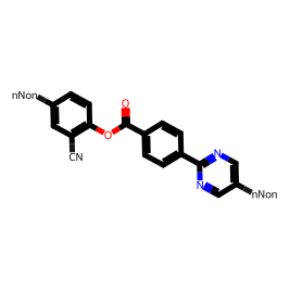 CCCCCCCCCc1cnc(-c2ccc(C(=O)Oc3ccc(CCCCCCCCC)cc3C#N)cc2)nc1